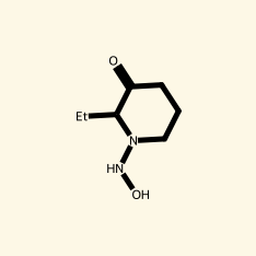 CCC1C(=O)CCCN1NO